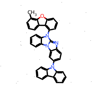 Cc1cccc2c1oc1cccc(-n3c4ccccc4n4c5cc(-n6c7ccccc7c7ccccc76)ccc5nc34)c12